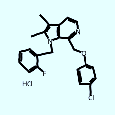 Cc1c(C)n(Cc2ccccc2F)c2c(COc3ccc(Cl)cc3)nccc12.Cl